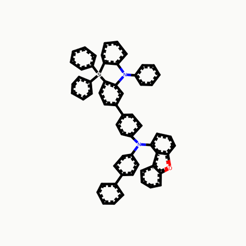 c1ccc(-c2ccc(N(c3ccc(-c4ccc5c(c4)N(c4ccccc4)c4ccccc4[Si]5(c4ccccc4)c4ccccc4)cc3)c3cccc4oc5ccccc5c34)cc2)cc1